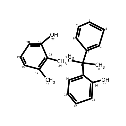 CC(C)(c1ccccc1)c1ccccc1O.Cc1cccc(O)c1C